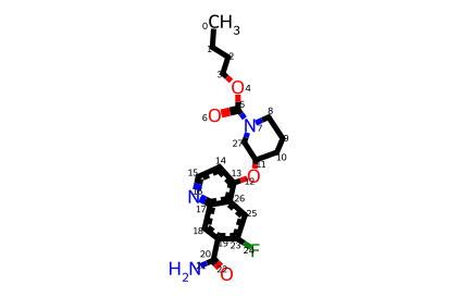 CCCCOC(=O)N1CCCC(Oc2ccnc3cc(C(N)=O)c(F)cc23)C1